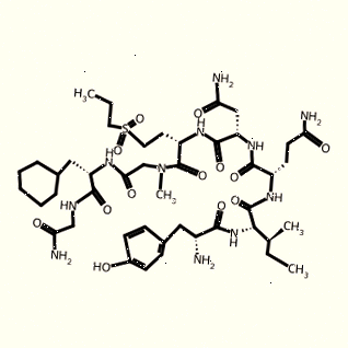 CCCS(=O)(=O)CC[C@H](NC(=O)[C@H](CC(N)=O)NC(=O)[C@H](CCC(N)=O)NC(=O)[C@@H](NC(=O)[C@H](N)Cc1ccc(O)cc1)[C@@H](C)CC)C(=O)N(C)CC(=O)N[C@@H](CC1CCCCC1)C(=O)NCC(N)=O